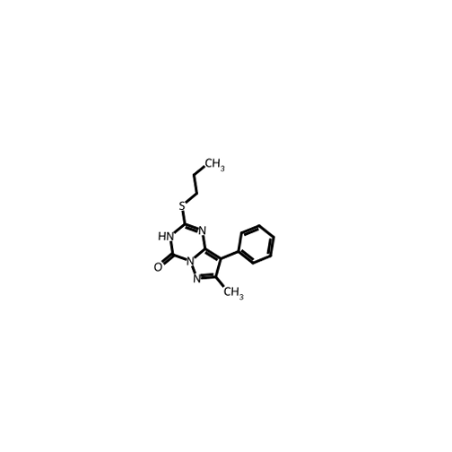 CCCSc1nc2c(-c3ccccc3)c(C)nn2c(=O)[nH]1